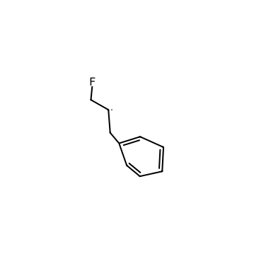 FC[CH]Cc1ccccc1